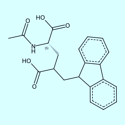 CC(=O)N[C@@H](CC(CC1c2ccccc2-c2ccccc21)C(=O)O)C(=O)O